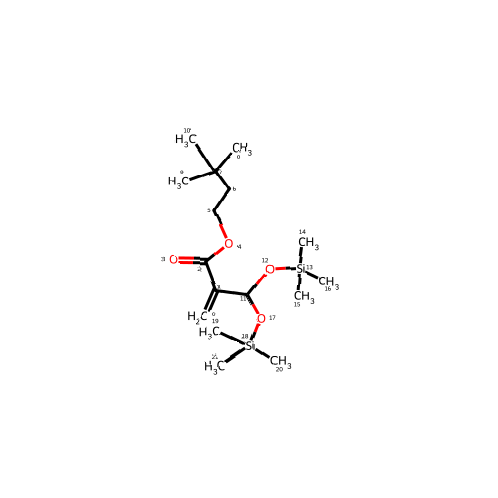 C=C(C(=O)OCCC(C)(C)C)C(O[Si](C)(C)C)O[Si](C)(C)C